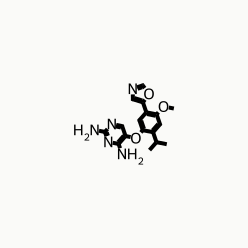 COc1cc(C(C)C)c(Oc2cnc(N)nc2N)cc1-c1cnco1